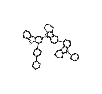 C1=Cc2c(n(-c3cc(-c4ccc(-c5ccccc5)cc4)c4sc5ccccc5c4c3)c3ccc(-c4cccc5c4c4ccccc4n5-c4ccccc4)cc23)CC1